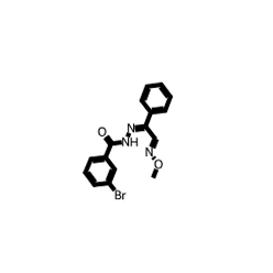 CON=CC(=NNC(=O)c1cccc(Br)c1)c1ccccc1